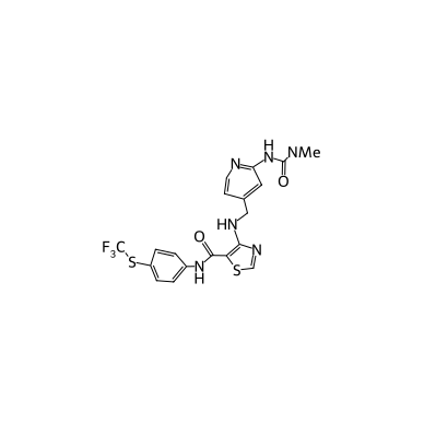 CNC(=O)Nc1cc(CNc2ncsc2C(=O)Nc2ccc(SC(F)(F)F)cc2)ccn1